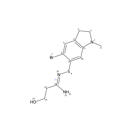 CN1CCc2cc(Br)c(S/N=C(\N)CCO)cc21